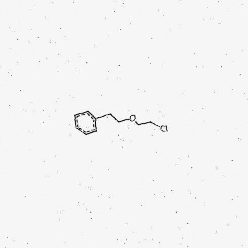 ClCCOCCc1ccccc1